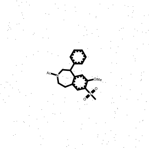 COc1cc2c(cc1S(C)(=O)=O)CCN(C(C)=O)CC2c1ccccc1